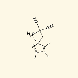 C#CC(P)(C#C)CC1(C)P=C(C)C(C)=C1C